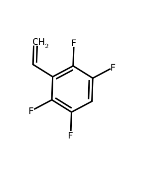 C=Cc1c(F)c(F)cc(F)c1F